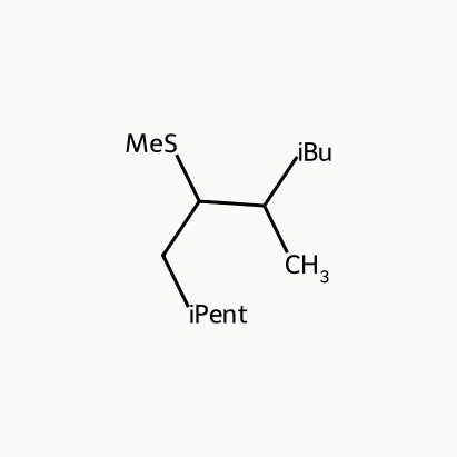 CCCC(C)CC(SC)C(C)C(C)CC